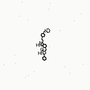 O=C1NC(c2ccccc2)CC1=Cc1ccc2c(/C=C/c3ccc(CN4CCCCC4)cc3)n[nH]c2c1